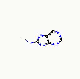 O=CNc1nc2ncncc2[nH]1